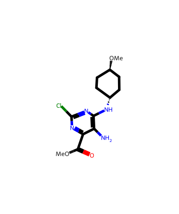 COC(=O)c1nc(Cl)nc(N[C@H]2CC[C@H](OC)CC2)c1N